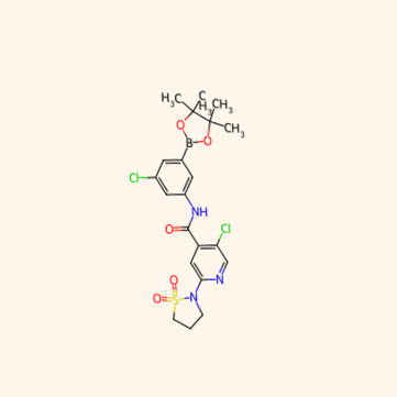 CC1(C)OB(c2cc(Cl)cc(NC(=O)c3cc(N4CCCS4(=O)=O)ncc3Cl)c2)OC1(C)C